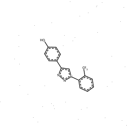 Oc1ccc(-c2cn(-c3ccccc3C(F)(F)F)nn2)cc1